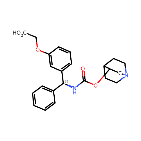 O=C(O)COc1cccc([C@@H](NC(=O)OC2CN3CCC2CC3)c2ccccc2)c1